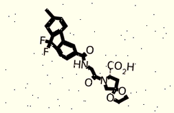 Cc1ccc2c(c1)C(F)(F)c1ccc(C(=O)NCC(=O)N3CC4(C[C@H]3C(=O)O)OCCO4)cc1-2